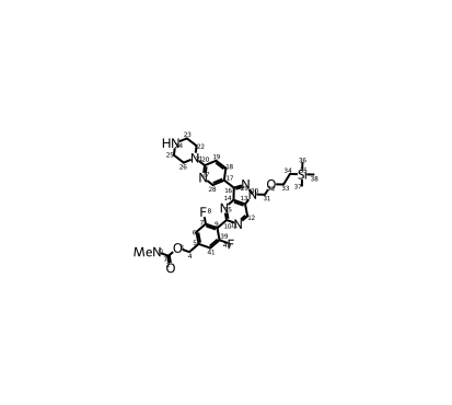 CNC(=O)OCc1cc(F)c(-c2ncc3c(n2)c(-c2ccc(N4CCNCC4)nc2)nn3COCC[Si](C)(C)C)c(F)c1